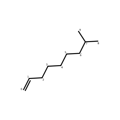 C=CCCCC[CH]C(C)C